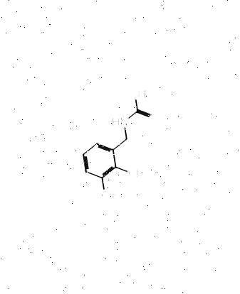 Cc1cccc(CNC(=S)S)c1C